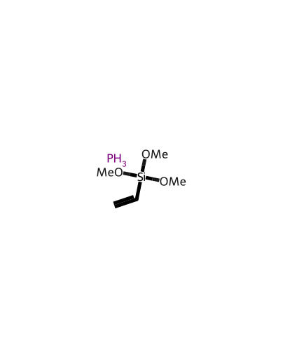 C=C[Si](OC)(OC)OC.P